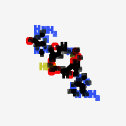 Nc1nc2c(ncn2[C@@H]2O[C@@H]3CNS(=O)(=O)O[C@H]4C[C@H](n5cnc6c(N)ncnc65)O[C@@H]4COP(=O)(S)O[C@@H]2C3)c(=O)[nH]1